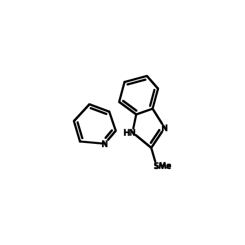 CSc1nc2ccccc2[nH]1.c1ccncc1